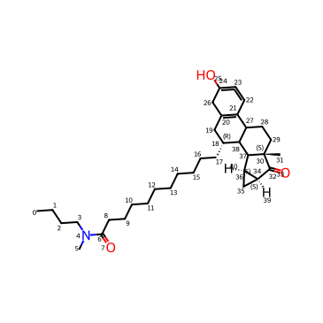 CCCCN(C)C(=O)CCCCCCCCCC[C@@H]1CC2=C(C=C=C(O)C2)C2CC[C@]3(C)C(=O)[C@H]4C[C@H]4C3C21